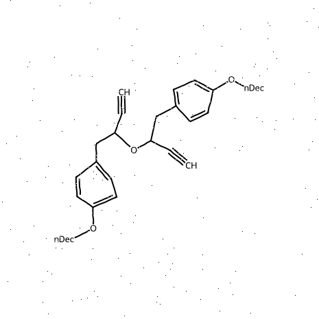 C#CC(Cc1ccc(OCCCCCCCCCC)cc1)OC(C#C)Cc1ccc(OCCCCCCCCCC)cc1